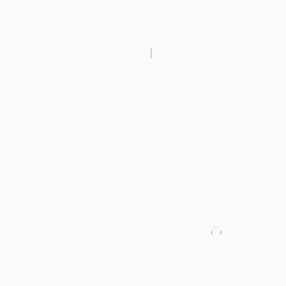 CC(C[O])c1cccc(I)c1